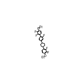 CCOc1ccc(-c2ccc(C3CCC(c4ccc(OCC)c(F)c4F)CC3)cc2F)c(F)c1F